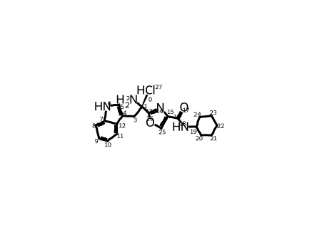 C[C@](N)(Cc1c[nH]c2ccccc12)c1nc(C(=O)NC2CCCCC2)co1.Cl